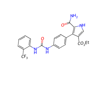 CCOC(=O)c1c[nH]c(C(N)=O)c1-c1ccc(NC(=O)Nc2ccccc2C(F)(F)F)cc1